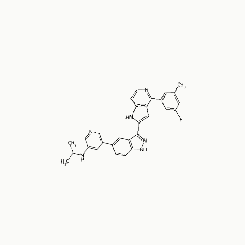 Cc1cc(F)cc(-c2nccc3[nH]c(-c4n[nH]c5ccc(-c6cncc(NC(C)C)c6)cc45)cc23)c1